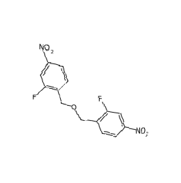 O=[N+]([O-])c1ccc(COCc2ccc([N+](=O)[O-])cc2F)c(F)c1